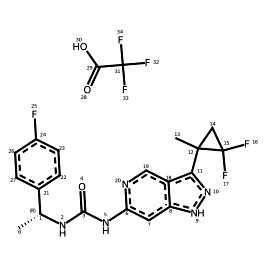 C[C@@H](NC(=O)Nc1cc2[nH]nc(C3(C)CC3(F)F)c2cn1)c1ccc(F)cc1.O=C(O)C(F)(F)F